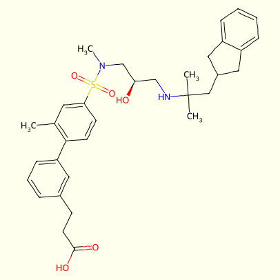 Cc1cc(S(=O)(=O)N(C)C[C@H](O)CNC(C)(C)CC2Cc3ccccc3C2)ccc1-c1cccc(CCC(=O)O)c1